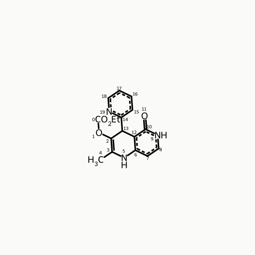 CCOC(=O)OC1=C(C)Nc2cc[nH]c(=O)c2C1c1ccccn1